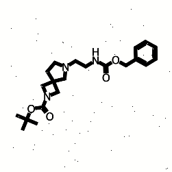 CC(C)(C)OC(=O)N1CC2(CCN(CCNC(=O)OCc3ccccc3)C2)C1